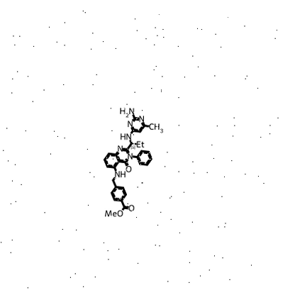 CC[C@H](Nc1cc(C)nc(N)n1)c1nc2cccc(NCc3ccc(C(=O)OC)cc3)c2c(=O)n1-c1ccccc1